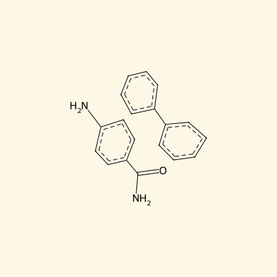 NC(=O)c1ccc(N)cc1.c1ccc(-c2ccccc2)cc1